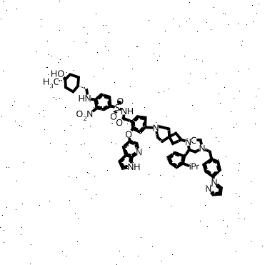 CC(C)c1ccccc1C1CN(Cc2ccc(-n3cccn3)cc2)CCN1C1CC2(CCN(c3ccc(C(=O)NS(=O)(=O)c4ccc(NC[C@H]5CC[C@](C)(O)CC5)c([N+](=O)[O-])c4)c(Oc4cnc5[nH]ccc5c4)c3)CC2)C1